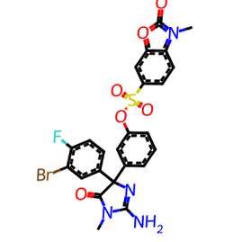 CN1C(=O)C(c2cccc(OS(=O)(=O)c3ccc4c(c3)oc(=O)n4C)c2)(c2ccc(F)c(Br)c2)N=C1N